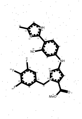 COC(=O)c1cc(Nc2ccc(-c3nc(C)c[nH]3)c(C#N)c2)nn1Cc1cc(F)c(F)c(F)c1